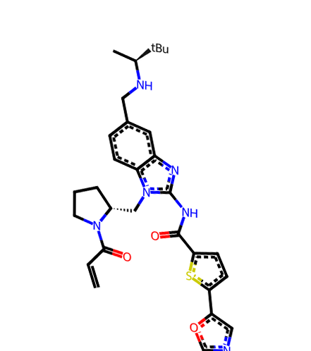 C=CC(=O)N1CCC[C@@H]1Cn1c(NC(=O)c2ccc(-c3cnco3)s2)nc2cc(CN[C@@H](C)C(C)(C)C)ccc21